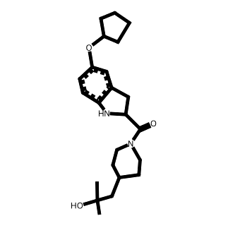 CC(C)(O)CC1CCN(C(=O)C2Cc3cc(OC4CCCC4)ccc3N2)CC1